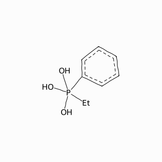 CCP(O)(O)(O)c1ccccc1